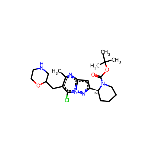 Cc1nc2cc([C@@H]3CCCCN3C(=O)OC(C)(C)C)nn2c(Cl)c1CC1CNCCO1